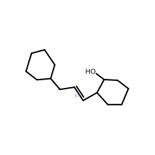 OC1CCCCC1/C=C/[CH]C1CCCCC1